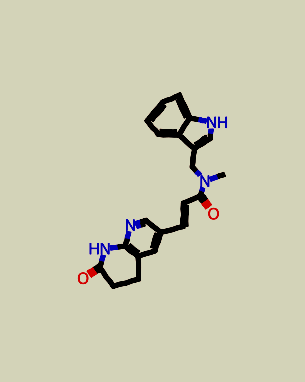 CN(Cc1c[nH]c2ccccc12)C(=O)/C=C/c1cnc2c(c1)CCC(=O)N2